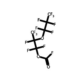 O=C(F)OC(F)(F)C(F)(OC(F)(F)C(F)(F)C(F)(F)F)C(F)(F)F